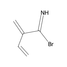 C=CC(=C)C(=N)Br